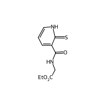 CCOC(=O)CNC(=O)c1ccc[nH]c1=S